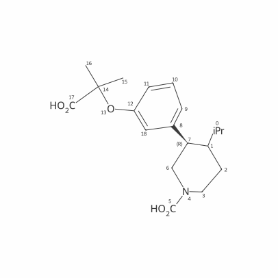 CC(C)C1CCN(C(=O)O)C[C@H]1c1cccc(OC(C)(C)C(=O)O)c1